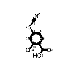 N#CSc1ccc(C(=O)O)c(Cl)c1